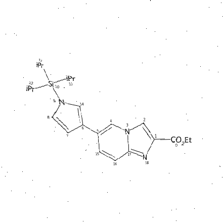 CCOC(=O)c1cn2cc(-c3ccn([Si](C(C)C)(C(C)C)C(C)C)c3)ccc2n1